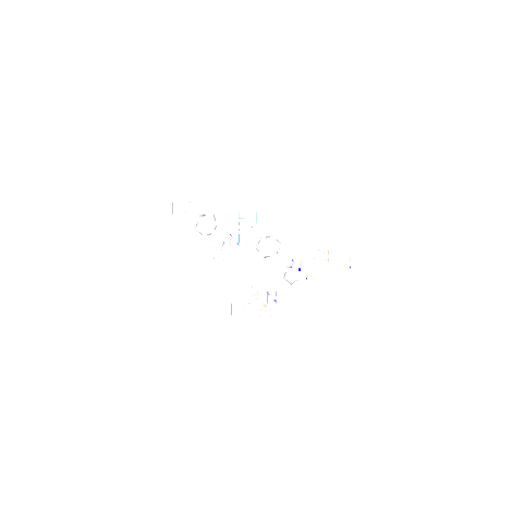 Cc1ccc(C(=O)NCc2cc(-c3nn(CC(O)CN4CCCC4)c4c3CN(S(C)(=O)=O)CC4)ccc2C(F)(F)F)cc1